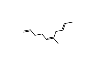 C=CCCC=C(C)CC=CC